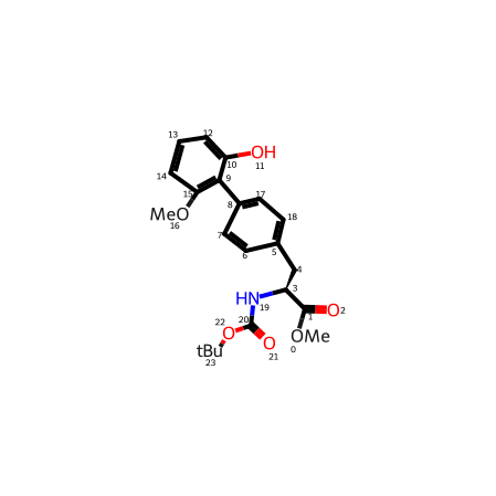 COC(=O)[C@H](Cc1ccc(-c2c(O)cccc2OC)cc1)NC(=O)OC(C)(C)C